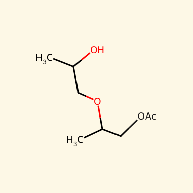 CC(=O)OCC(C)OCC(C)O